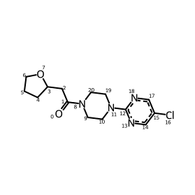 O=C(CC1CCCO1)N1CCN(c2ncc(Cl)cn2)CC1